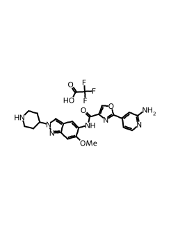 COc1cc2nn(C3CCNCC3)cc2cc1NC(=O)c1coc(-c2ccnc(N)c2)n1.O=C(O)C(F)(F)F